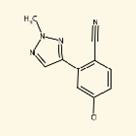 Cn1ncc(-c2cc(Cl)ccc2C#N)n1